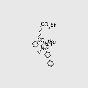 CCOC(=O)CCCCCOc1ccccc1C(C(=O)NC(C)(C)C)N(C(=O)c1ccc(-c2ccccc2)cc1)C1CC1